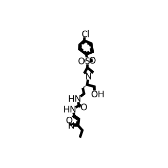 CCc1cc(NC(=O)NCC[C@@H](CO)N2CC(S(=O)(=O)c3ccc(Cl)cc3)C2)on1